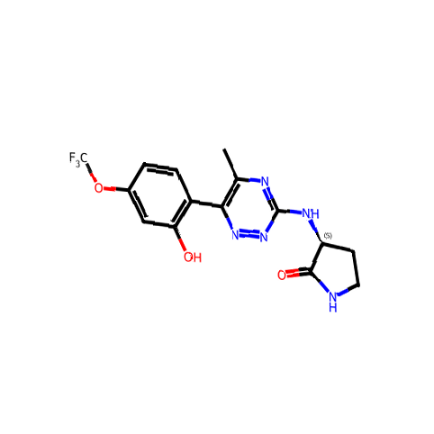 Cc1nc(N[C@H]2CCNC2=O)nnc1-c1ccc(OC(F)(F)F)cc1O